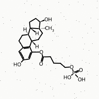 C[C@]12CC[C@@H]3c4c(cc(O)cc4OC(=O)CCCCOP(=O)(O)O)CC[C@H]3[C@@H]1CC[C@H]2O